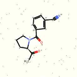 CC(=O)[C@H]1CCCN1C(=O)c1cccc(C#N)c1